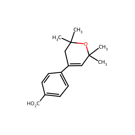 CC1(C)C=C(c2ccc(C(=O)O)cc2)CC(C)(C)O1